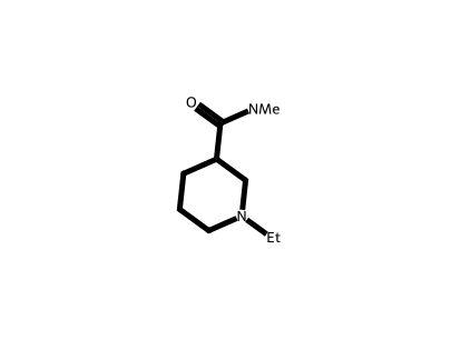 CCN1CCCC(C(=O)NC)C1